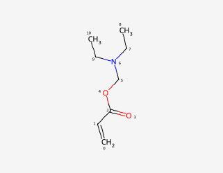 C=CC(=O)OCN(CC)CC